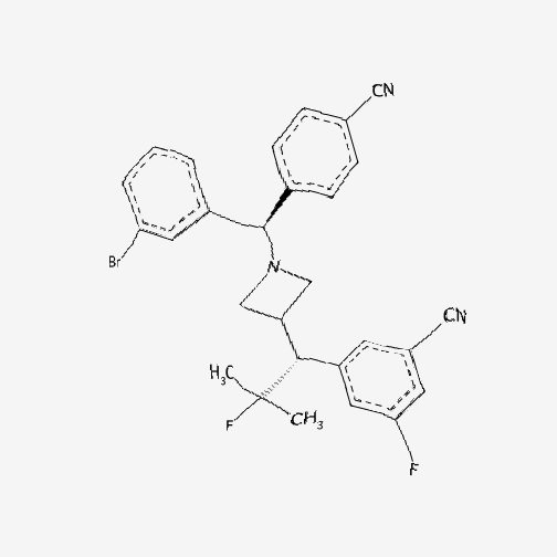 CC(C)(F)[C@@H](c1cc(F)cc(C#N)c1)C1CN([C@H](c2ccc(C#N)cc2)c2cccc(Br)c2)C1